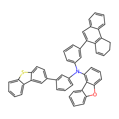 C1=Cc2c(-c3cccc(N(c4cccc(-c5ccc6sc7ccccc7c6c5)c4)c4cccc5oc6ccccc6c45)c3)cc3ccccc3c2CC1